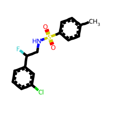 Cc1ccc(S(=O)(=O)NCC(F)c2cccc(Cl)c2)cc1